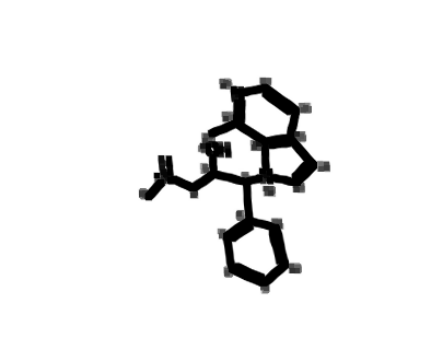 CNCC(O)C(c1ccccc1)n1ccc2ccnc(C)c21